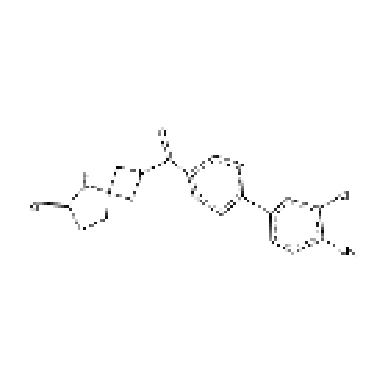 O=C1CCC2(CN(C(=O)c3ccc(-c4ccc(C(F)(F)F)c(Cl)c4)cc3)C2)N1